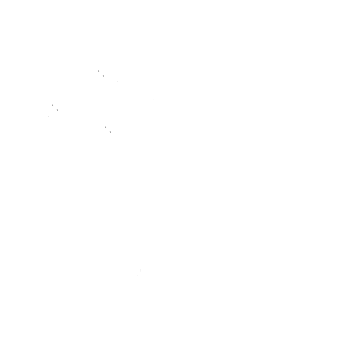 Cc1cc(Oc2ccccc2Cl)c(S(C)(=O)=O)cc1C(=O)N=C(N)N